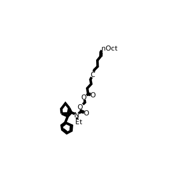 CCCCCCCCC=CCCCCCCCC(=O)OCOC(=O)N(CC)C1C2CCC(C2)C1c1ccccc1